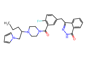 CCCC(Cn1cccc1)N1CCN(C(=O)c2cc(Cc3n[nH]c(=O)c4ccccc34)ccc2F)CC1